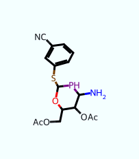 CC(=O)OCC1OC(Sc2cccc(C#N)c2)PC(N)C1OC(C)=O